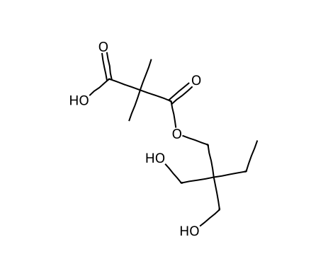 CCC(CO)(CO)COC(=O)C(C)(C)C(=O)O